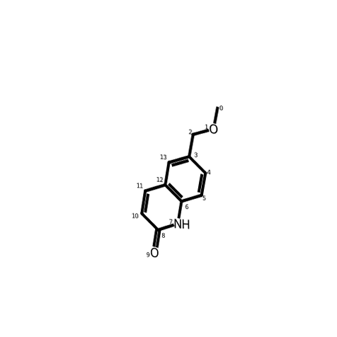 COCc1ccc2[nH]c(=O)ccc2c1